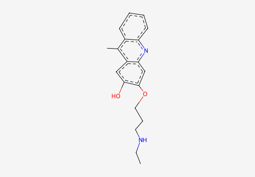 CCNCCCOc1cc2nc3ccccc3c(C)c2cc1O